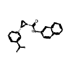 CC(C)c1cccc([C@@H]2C[C@H]2C(=O)Nc2ccc3ccccc3c2)c1